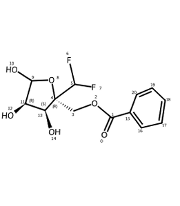 O=C(OC[C@@]1(C(F)F)OC(O)[C@H](O)[C@@H]1O)c1ccccc1